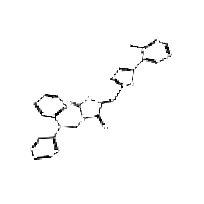 O=C1C(=Cc2ccc(-c3ccccc3Cl)o2)SC(=S)N1CC(c1ccccc1)c1ccccc1